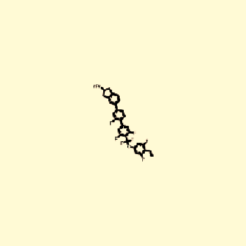 C=Cc1c(F)cc(OC(F)(F)c2c(F)cc(-c3ccc(-c4ccc5c(c4)CC(CCC)C5)cc3F)cc2F)cc1F